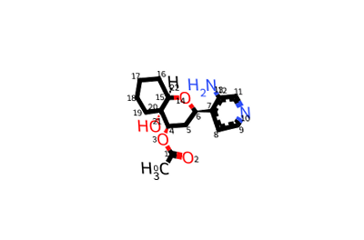 CC(=O)O[C@@H]1C[C@H](c2ccncc2N)O[C@@H]2CCCC[C@]12O